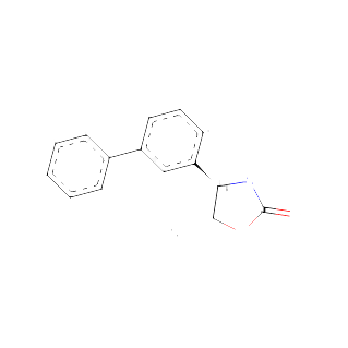 N#C[C@H]1OC(=O)N[C@@H]1c1cccc(-c2ccccc2)c1